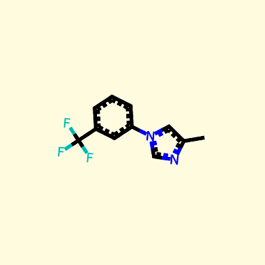 Cc1cn(-c2cccc(C(F)(F)F)c2)cn1